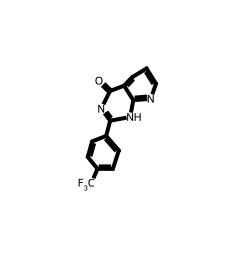 O=c1nc(-c2ccc(C(F)(F)F)cc2)[nH]c2ncccc12